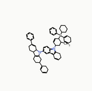 CC1CC(n2c3c(c4cc(N5C6=C(CCC(C7=CC=CCC7)C6)C6CCC(c7ccccc7)=CC65)ccc42)C=CCC3)C=CC1[Si](C1=CCCC=C1)(c1ccccc1)C1CCCCC1